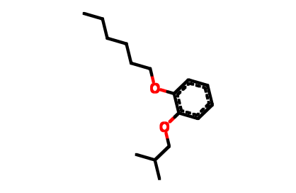 CCCCCCOc1ccccc1OCC(C)C